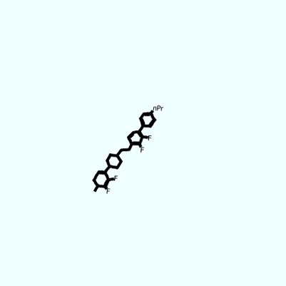 CCCc1ccc(-c2ccc(CCC3CCC(C4=CCC(C)C(F)=C4F)CC3)c(F)c2F)cc1